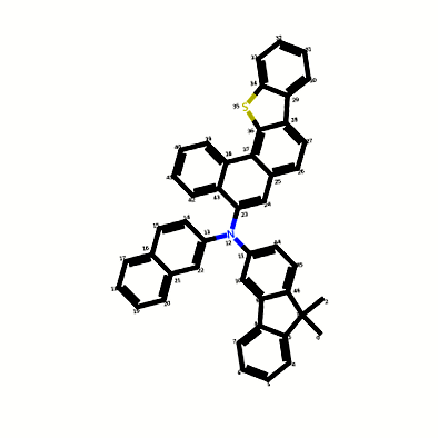 CC1(C)c2ccccc2-c2cc(N(c3ccc4ccccc4c3)c3cc4ccc5c6ccccc6sc5c4c4ccccc34)ccc21